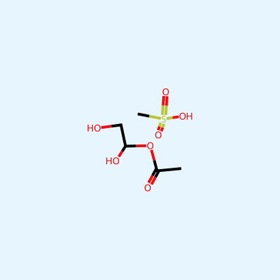 CC(=O)OC(O)CO.CS(=O)(=O)O